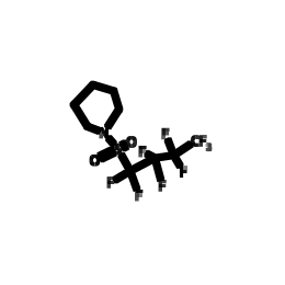 O=S(=O)(N1CCCCC1)C(F)(F)C(F)(F)C(F)(F)C(F)(F)F